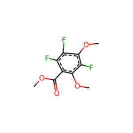 COC(=O)c1c(F)c(F)c(OC)c(F)c1OC